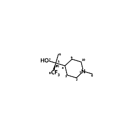 CN1CCC([C@@](C)(O)C(F)(F)F)CC1